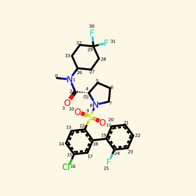 CN(C(=O)[C@@H]1CCCN1S(=O)(=O)c1ccc(Cl)cc1-c1ccccc1F)C1CCC(F)(F)CC1